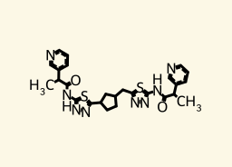 CC(C(=O)Nc1nnc(CC2CCC(c3nnc(NC(=O)C(C)c4cccnc4)s3)C2)s1)c1cccnc1